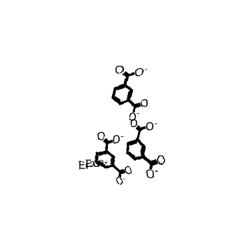 O=C([O-])c1cccc(C(=O)[O-])c1.O=C([O-])c1cccc(C(=O)[O-])c1.O=C([O-])c1cccc(C(=O)[O-])c1.[Er+3].[Eu+3]